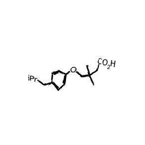 CC(C)Cc1ccc(OCC(C)(C)CC(=O)O)cc1